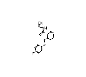 N#CCNC(=O)[C@@H]1CC=CC[C@H]1CSc1ccc(F)cc1